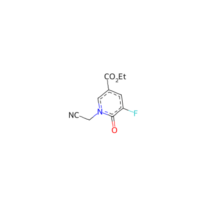 CCOC(=O)c1cc(F)c(=O)n(CC#N)c1